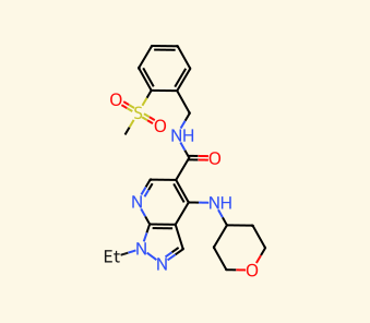 CCn1ncc2c(NC3CCOCC3)c(C(=O)NCc3ccccc3S(C)(=O)=O)cnc21